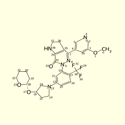 COc1cncc(-c2nn(-c3cc(N4CCC(O[C@H]5CCCCO5)C4)ccc3C(F)(F)F)c(=O)c3c2CCN3)c1